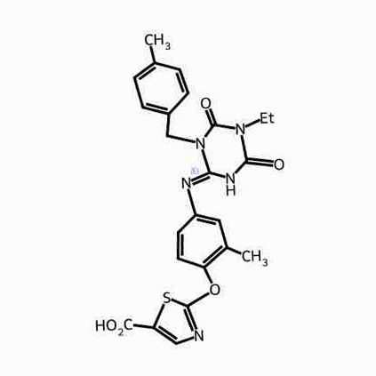 CCn1c(=O)[nH]/c(=N\c2ccc(Oc3ncc(C(=O)O)s3)c(C)c2)n(Cc2ccc(C)cc2)c1=O